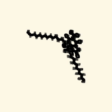 CCCCCCCCCCCCC[S+]([O-])N1C(=O)N(P(=O)=O)C(=O)C2=NC(=O)NC21CC(C)OCCCCCCCCCC